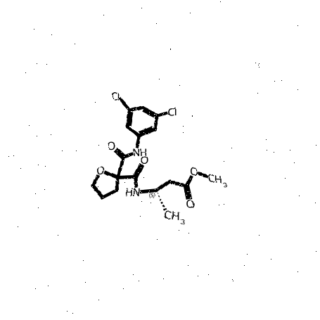 COC(=O)C[C@H](C)NC(=O)C1(C(=O)Nc2cc(Cl)cc(Cl)c2)CCCO1